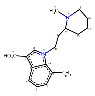 Cc1cccc2c(C(=O)O)cn(CCC3CCCCN3C)c12